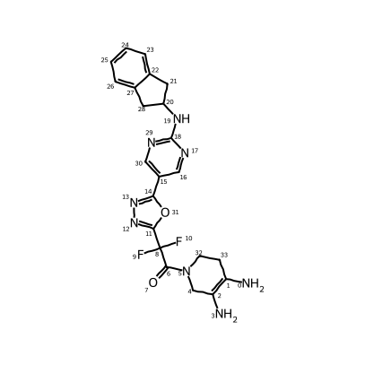 NC1=C(N)CN(C(=O)C(F)(F)c2nnc(-c3cnc(NC4Cc5ccccc5C4)nc3)o2)CC1